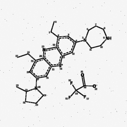 CCc1cc(N2CCCNCC2)cc2[s+]c3cc(N4CCCC4C)cc(CC)c3nc12.O=C([O-])C(F)(F)F